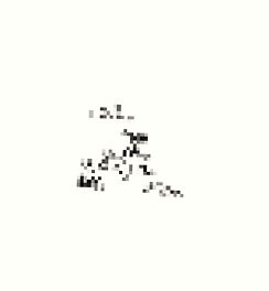 CCC(=O)[O-].CCC(=O)[O-].CCCCCCCCCCCCNCCNCCCCCCCCCCCC.[Na+].[Na+]